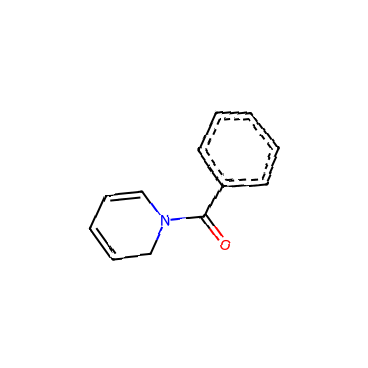 O=C(c1ccccc1)N1C=CC=CC1